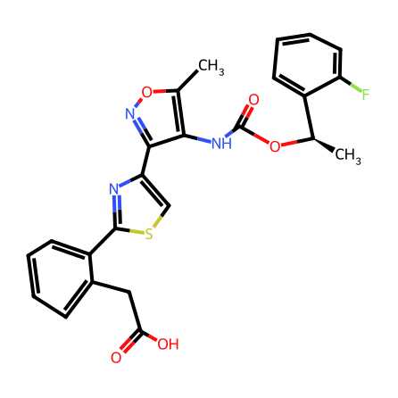 Cc1onc(-c2csc(-c3ccccc3CC(=O)O)n2)c1NC(=O)O[C@H](C)c1ccccc1F